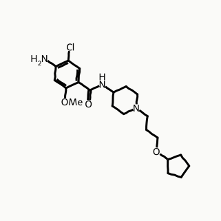 COc1cc(N)c(Cl)cc1C(=O)NC1CCN(CCCOC2CCCC2)CC1